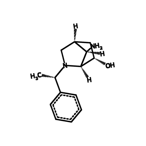 C[C@@H](c1ccccc1)N1C[C@H]2C[C@H](O)[C@@H]1[C@@H]2N